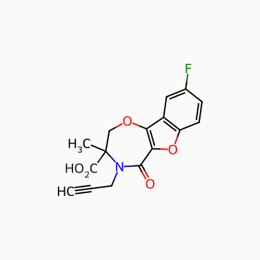 C#CCN1C(=O)c2oc3ccc(F)cc3c2OCC1(C)C(=O)O